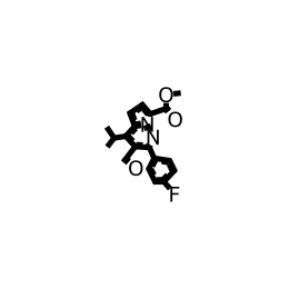 COC(=O)c1ccc2c(C(C)C)c(C=O)c(-c3ccc(F)cc3)nn12